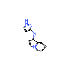 C1=C[n+]2ccccc2C1=Nc1cc[nH]n1